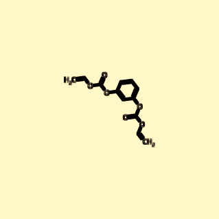 C=COC(=O)Oc1cccc(OC(=O)OC=C)c1